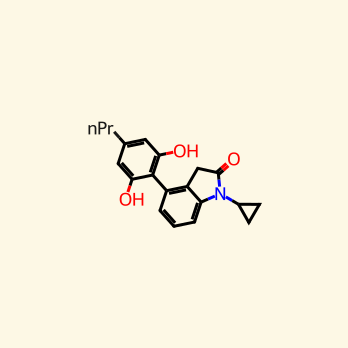 CCCc1cc(O)c(-c2cccc3c2CC(=O)N3C2CC2)c(O)c1